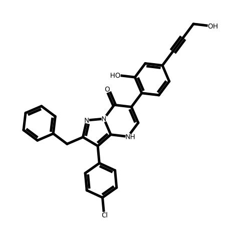 O=c1c(-c2ccc(C#CCO)cc2O)c[nH]c2c(-c3ccc(Cl)cc3)c(Cc3ccccc3)nn12